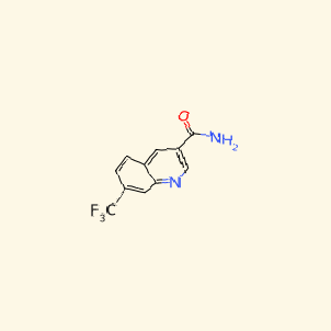 NC(=O)c1cnc2cc(C(F)(F)F)ccc2c1